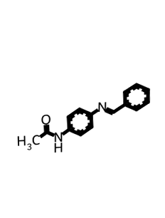 CC(=O)Nc1ccc(N=Cc2ccccc2)cc1